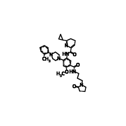 COc1cc(N2CCN(c3ccccc3C)CC2)c(NC(=O)C2=CCCC(C3CC3)=N2)cc1C(=O)NCCCN1CCCC1=O